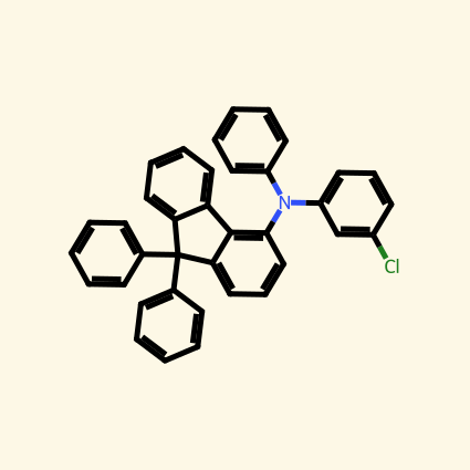 Clc1cccc(N(c2ccccc2)c2cccc3c2-c2ccccc2C3(c2ccccc2)c2ccccc2)c1